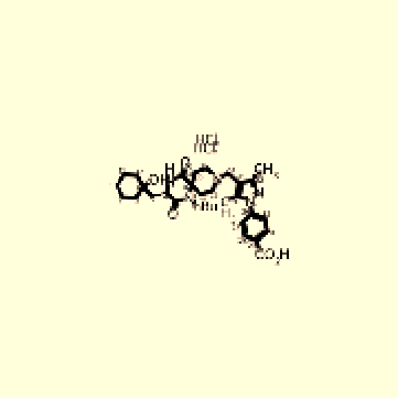 CCCCN1C(=O)[C@@H](CC2(O)CCCCC2)NC(=O)C12CCN(Cc1c(C)nn(-c3ccc(C(=O)O)cc3)c1C)CC2.Cl.Cl